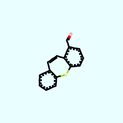 O=Cc1cccc2c1C=Cc1ccccc1S2